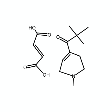 CN1CC=C(C(=O)C(C)(C)C)CC1.O=C(O)C=CC(=O)O